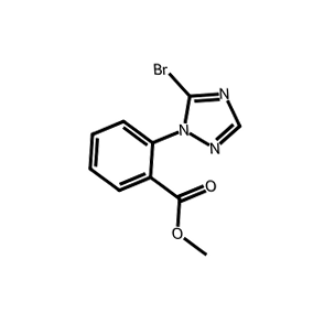 COC(=O)c1ccccc1-n1ncnc1Br